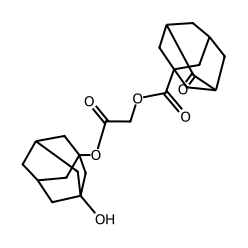 O=C(COC(=O)C12CC3CC(C1)C(=O)C(C3)C2)OC12CC3CC(CC(O)(C3)C1)C2